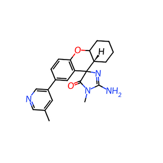 Cc1cncc(-c2ccc3c(c2)C2(N=C(N)N(C)C2=O)[C@H]2CCCCC2O3)c1